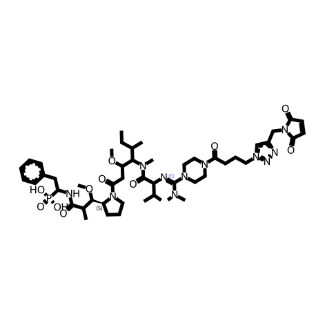 CCC(C)C(C(CC(=O)N1CCC[C@H]1C(OC)C(C)C(=O)NC(Cc1ccccc1)P(=O)(O)O)OC)N(C)C(=O)C(/N=C(\N(C)C)N1CCN(C(=O)CCCn2cc(CN3C(=O)C=CC3=O)nn2)CC1)C(C)C